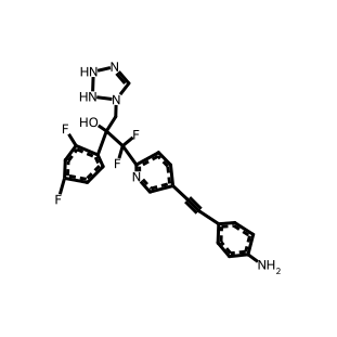 Nc1ccc(C#Cc2ccc(C(F)(F)C(O)(CN3C=NNN3)c3ccc(F)cc3F)nc2)cc1